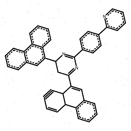 C1#CC2C(C3=NC(c4ccc(-c5ccccn5)cc4)=NC(c4cc5ccccc5c5ccccc45)C3)=Cc3ccccc3C2C=C1